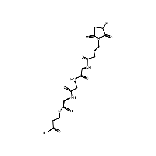 CCC1CC(=O)N(CCCC(=O)NCC(=O)NCC(=O)NCC(=O)NCCC(=O)C(C)C)C1=O